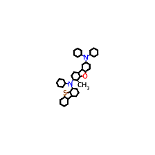 Cc1c(N(c2ccccc2)c2cccc3c2sc2ccccc23)ccc2c1oc1ccc(N(c3ccccc3)c3ccccc3)cc12